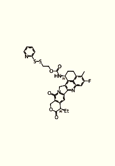 CC[C@H]1C(=O)OCc2c1cc1n(c2=O)Cc2c-1nc1cc(F)c(C)c3c1c2[C@@H](NC(=O)OCCSSc1ccccn1)CC3